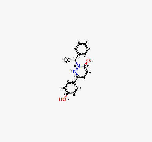 CC(c1ccccc1)n1nc(-c2ccc(O)cc2)ccc1=O